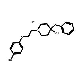 Cl.Oc1ccc(OCCN2CCC(O)(Cc3ccccc3)CC2)cc1